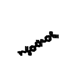 CN(C)CCNC(=O)c1ccc(-c2cnc(OCC3CCN(C(=O)O)CC3)nc2)cc1